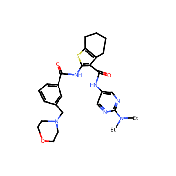 CCN(CC)c1ncc(NC(=O)c2c(NC(=O)c3cccc(CN4CCOCC4)c3)sc3c2CCCC3)cn1